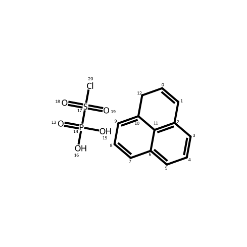 C1=Cc2cccc3cccc(c23)C1.O=P(O)(O)S(=O)(=O)Cl